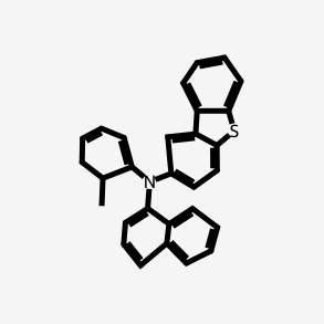 CC1CC=CC=C1N(c1ccc2sc3ccccc3c2c1)c1cccc2ccccc12